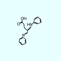 O=C(O)CCC(/C=N/c1ccccc1)=C\Nc1ccccc1